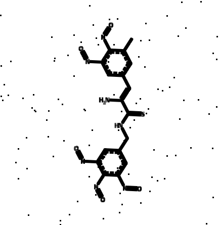 Cc1cc(/C=C(\N)C(=S)NCc2cc(N=O)c(N=O)c(N=O)c2)cc(N=O)c1N=O